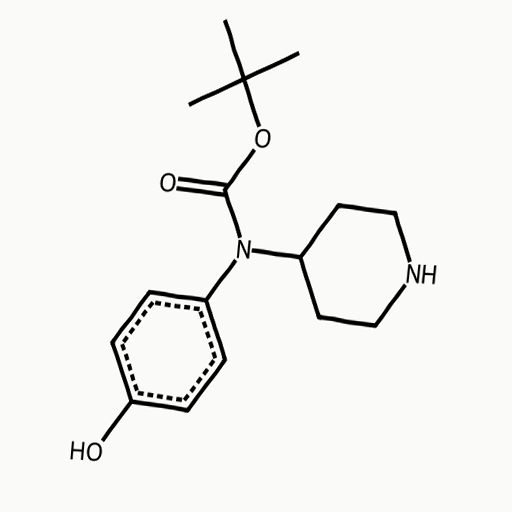 CC(C)(C)OC(=O)N(c1ccc(O)cc1)C1CCNCC1